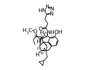 CO[C@]12CC[C@@]3(C[C@@H]1CNC(=O)CCc1nnn[nH]1)[C@H]1Cc4ccc(O)c5c4[C@@]3(CCN1CC1CC1)[C@H]2O5